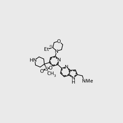 CC[C@H]1COCCN1c1cc(C2(S(C)(=O)=O)CCNCC2)cc(-c2ccc3[nH]c(CNC)cc3n2)n1